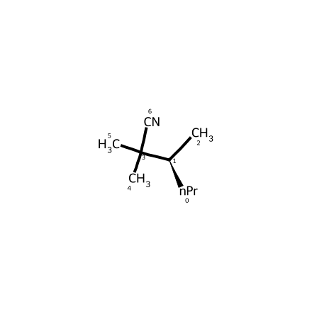 CCC[C@H](C)C(C)(C)C#N